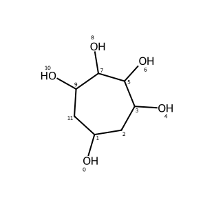 OC1CC(O)C(O)C(O)C(O)C1